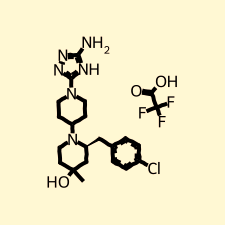 CC1(O)CCN(C2CCN(c3nnc(N)[nH]3)CC2)[C@@H](Cc2ccc(Cl)cc2)C1.O=C(O)C(F)(F)F